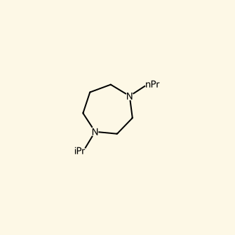 CCCN1CCCN(C(C)C)CC1